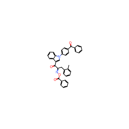 Cc1ccccc1C/C(=N\OC(=O)c1ccccc1)C(=O)c1cn(-c2ccc(C(=O)c3ccccc3)cc2)c2ccccc12